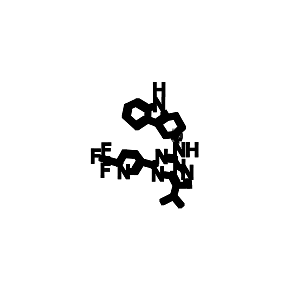 CC(C)c1cnn2c(N[C@@H]3CCc4[nH]c5ccccc5c4C3)nc(-c3ccc(C(F)(F)F)nc3)nc12